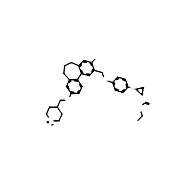 CCOC(=O)[C@H]1C[C@@H]1c1ccc(OCc2cc3c(cc2F)CCCc2cc(OCC4CCS(=O)(=O)CC4)ccc2-3)cc1